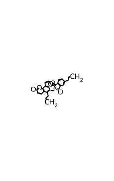 C=CCc1ccc2c(c1)C(=O)N(Cc1c(CC=C)c3ccc(=O)oc3c3ccoc13)C2=O